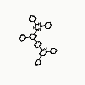 c1ccc(-c2cc(-c3ccc(-c4cc(-c5ccccc5)cc(-c5ccccc5)n4)cc3)cc(-c3nc(-c4ccccc4)nc(-c4ccccc4)n3)c2)cc1